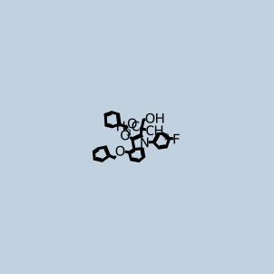 CC(C)(CO)c1c(OC(=O)c2ccccc2)c2c(OCc3ccccc3)cccc2n1-c1ccc(F)cc1